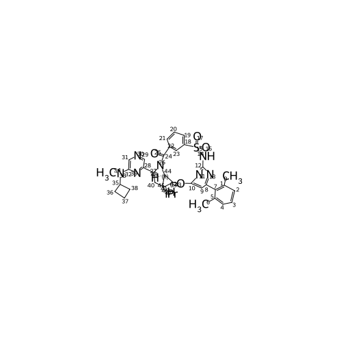 Cc1cccc(C)c1-c1cc2nc(n1)NS(=O)(=O)c1cccc(c1)C(=O)N1C(c3cncc(N(C)C4CCC4)n3)CC[C@H](O2)[C@H]1CC(C)C